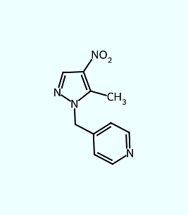 Cc1c([N+](=O)[O-])cnn1Cc1ccncc1